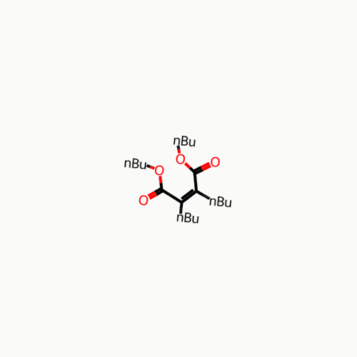 CCCCOC(=O)C(CCCC)=C(CCCC)C(=O)OCCCC